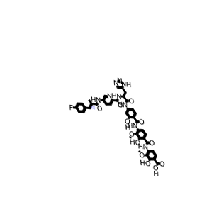 COc1c(NC(=O)c2ccc(NC(=O)c3ccc(NC(=O)C(Cc4cnn[nH]4)NC(=O)c4ccc(NC(=O)/C(C)=C/c5ccc(F)cc5)cn4)cc3O)c(OC)c2O)ccc(C(=O)O)c1O